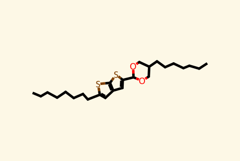 CCCCCCCCc1cc2cc(C3OCC(CCCCCCC)CO3)sc2s1